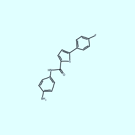 Bc1ccc(NC(=O)c2ccc(-c3ccc(F)cc3)s2)cc1